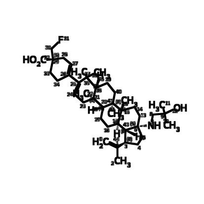 C=C(C)[C@@H]1CC[C@]2(NCC(C)(C)O)CC[C@]3(C)[C@H](CC[C@@H]4[C@@]5(C)CC=C(C6=CC[C@](CF)(C(=O)O)CC6)C(C)(C)[C@@H]5CC[C@]43C)[C@@H]12